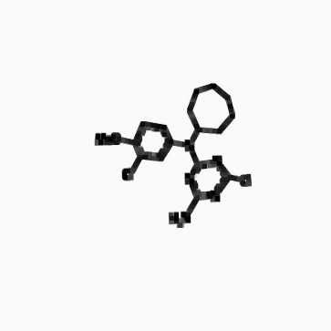 COc1ccc(N(c2nc(N)nc(Cl)n2)C2CCCCCC2)cc1Cl